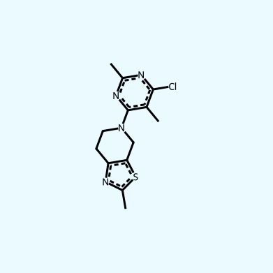 Cc1nc(Cl)c(C)c(N2CCc3nc(C)sc3C2)n1